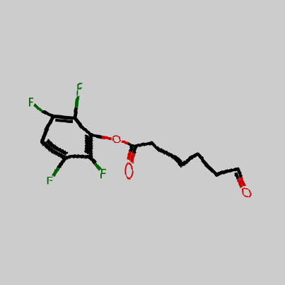 O=CCCCCC(=O)Oc1c(F)c(F)cc(F)c1F